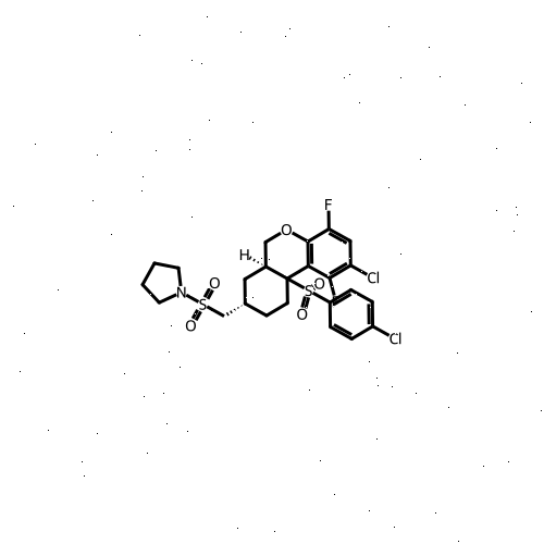 O=S(=O)(C[C@H]1CCC2(S(=O)(=O)c3ccc(Cl)cc3)c3c(F)c(Cl)cc(F)c3OC[C@@H]2C1)N1CCCC1